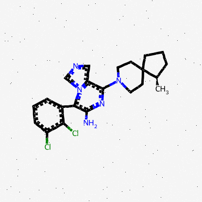 C[C@@H]1CCCC12CCN(c1nc(N)c(-c3cccc(Cl)c3Cl)n3cncc13)CC2